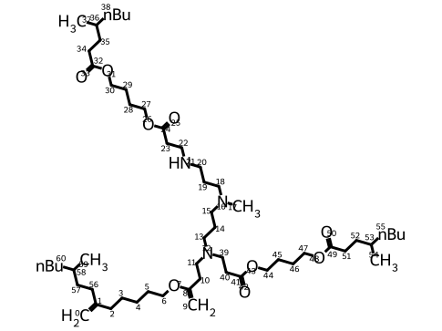 C=C(CCCCCOC(=C)CCN(CCCN(C)CCCNCCC(=O)OCCCCOC(=O)CCC(C)CCCC)CCC(=O)OCCCCOC(=O)CCC(C)CCCC)CCC(C)CCCC